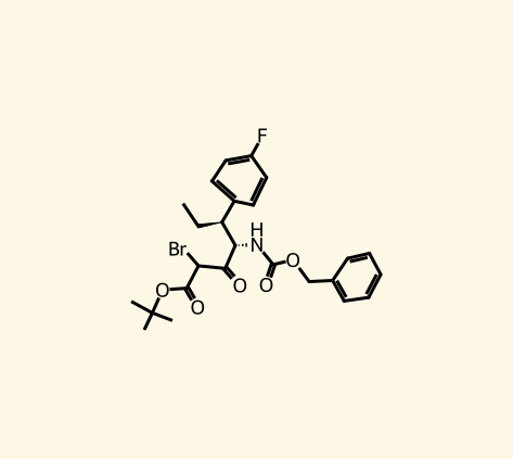 CC[C@@H](c1ccc(F)cc1)[C@H](NC(=O)OCc1ccccc1)C(=O)C(Br)C(=O)OC(C)(C)C